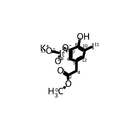 COC(=O)Cc1ccc(O)c(I)c1.[K+].[O-][I+2]([O-])[O-]